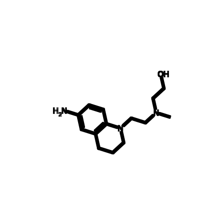 CN(CCO)CCN1CCCc2cc(N)ccc21